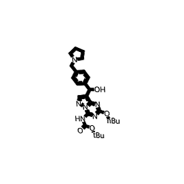 CCCCOc1nc(NC(=O)OC(C)(C)C)n2ncc(C(O)c3ccc(CN4CCCC4)cc3)c2n1